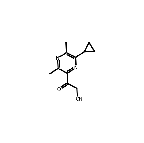 Cc1nc(C)c(C2CC2)nc1C(=O)CC#N